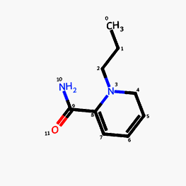 CCCN1CC=CC=C1C(N)=O